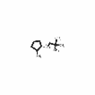 CC(C)(C)CN[C@H]1CCC[C@@H]1N